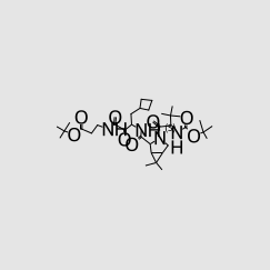 CC(C)(C)OC(=O)CCNC(=O)C(=O)C(CC1CCC1)NC(=O)C1C2C(CN1C(=O)[C@@H](NC(=O)OC(C)(C)C)C(C)(C)C)C2(C)C